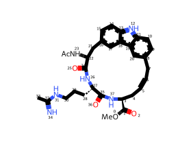 COC(=O)[C@@H]1CC=CCc2ccc3[nH]c4ccc(cc4c3c2)CC(NC(C)=O)C(=O)N[C@@H](CCCNC(C)=N)C(=O)N1